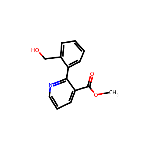 COC(=O)c1cccnc1-c1ccccc1CO